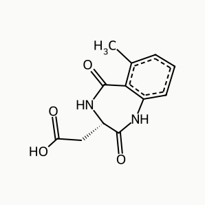 Cc1cccc2c1C(=O)N[C@@H](CC(=O)O)C(=O)N2